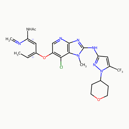 C=N/C(=C\C(=C/C)Oc1cnc2nc(Nc3cc(C(F)(F)F)n(C4CCOCC4)n3)n(C)c2c1Cl)NC(C)=O